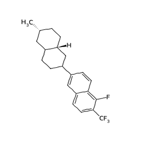 C[C@@H]1CC[C@@H]2CC(c3ccc4c(F)c(C(F)(F)F)ccc4c3)CCC2C1